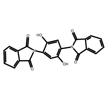 O=C1c2ccccc2C(=O)N1c1cc(O)c(N2C(=O)c3ccccc3C2=O)cc1O